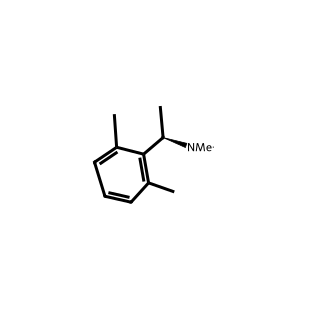 C[N][C@H](C)c1c(C)cccc1C